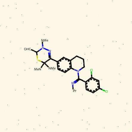 CNN1N=C(c2ccc3c(c2)CCCN3C(=NC(C)C)c2ccc(Cl)cc2Cl)C(NC)(NC)SC1C=O